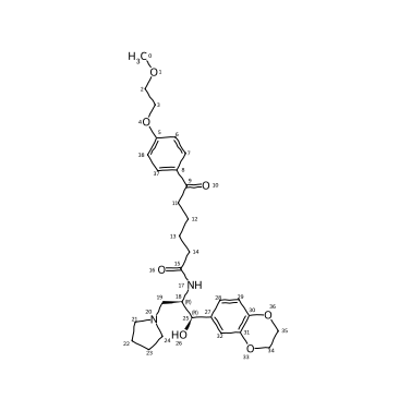 COCCOc1ccc(C(=O)CCCCC(=O)N[C@H](CN2CCCC2)[C@H](O)c2ccc3c(c2)OCCO3)cc1